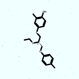 CCO[C@@H](COc1ccc(C)cc1)CSc1ccc(O)c(C)c1